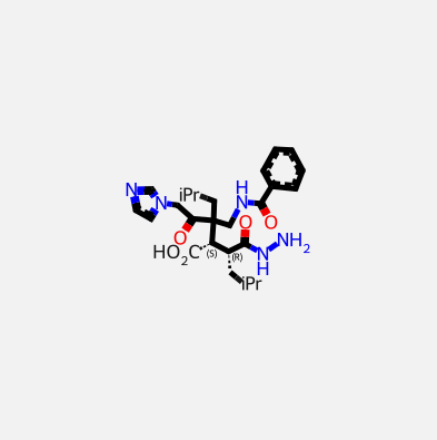 CC(C)C[C@@H](C(=O)NN)[C@H](C(=O)O)C(CNC(=O)c1ccccc1)(CC(C)C)C(=O)Cn1ccnc1